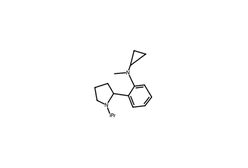 CC(C)N1CCCC1c1ccccc1N(C)C1CC1